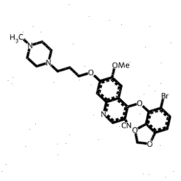 COc1cc2c(Oc3c(Br)ccc4c3OCO4)c(C#N)cnc2cc1OCCCN1CCN(C)CC1